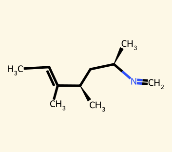 C=N[C@H](C)C[C@@H](C)/C(C)=C/C